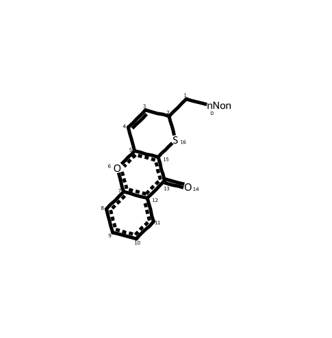 CCCCCCCCCCC1C=Cc2oc3ccccc3c(=O)c2S1